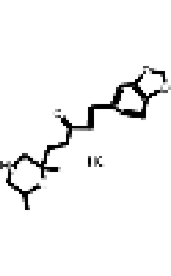 CC1CNCC(C)(CCC(=O)/C=C/c2ccc3c(c2)OCO3)O1.Cl